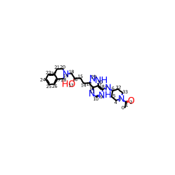 CC(=O)N1CCC(Nc2ncnc3c(CCC(O)CN4CCc5ccccc5C4)n[nH]c23)CC1